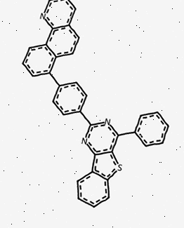 c1ccc(-c2nc(-c3ccc(-c4cccc5c4ccc4cccnc45)cc3)nc3c2sc2ccccc23)cc1